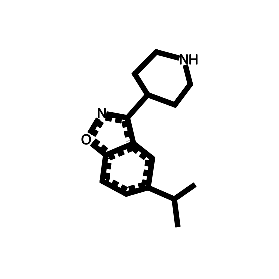 CC(C)c1ccc2onc(C3CCNCC3)c2c1